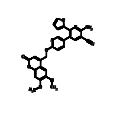 COc1cc2oc(=O)cc(COc3ccc(-c4cc(C#N)c(N)nc4-c4ccco4)cn3)c2cc1OC